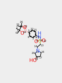 CC1(C)OB(c2ccc(NS(=O)(=O)CCN3CC[C@@H](O)C3)cc2)OC1(C)C